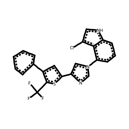 FC(F)(F)c1sc(-c2cn(-c3cccc4[nH]cc(Cl)c34)cn2)cc1-c1ccccc1